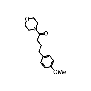 COc1ccc(CCCC(=O)N2CCOCC2)cc1